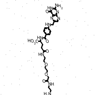 NCCNC(=O)COCCOCCNC(=O)CCC(NC(=O)c1ccc(NCc2cnc3nc(N)[nH]c(=O)c3n2)cc1)C(=O)O